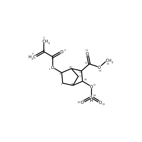 C=C(C)C(=O)OC1CC2CC1C(C(=O)OC)C2O[SH](=O)=O